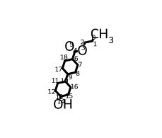 CCCOC(=O)C1CCC(C2CCC(O)CC2)CC1